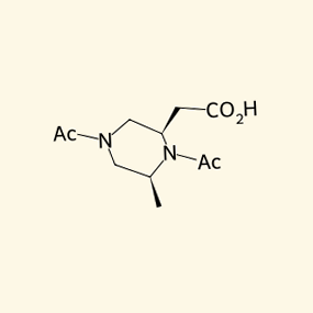 CC(=O)N1C[C@@H](CC(=O)O)N(C(C)=O)[C@@H](C)C1